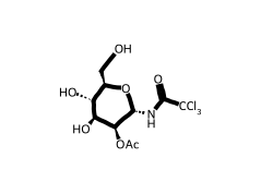 CC(=O)O[C@H]1[C@@H](O)[C@H](O)[C@@H](CO)O[C@@H]1NC(=O)C(Cl)(Cl)Cl